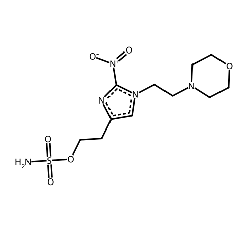 NS(=O)(=O)OCCc1cn(CCN2CCOCC2)c([N+](=O)[O-])n1